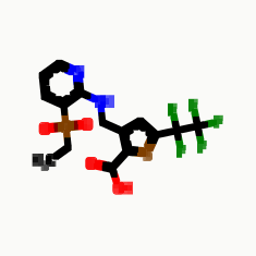 CCS(=O)(=O)c1cccnc1NCc1cc(C(F)(F)C(F)(F)F)sc1C(=O)O